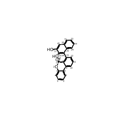 O=[PH]1Oc2ccccc2-c2cccc(-c3c(O)c(O)cc4ccccc34)c21